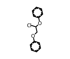 ClC(COc1ccccc1)Oc1ccccc1